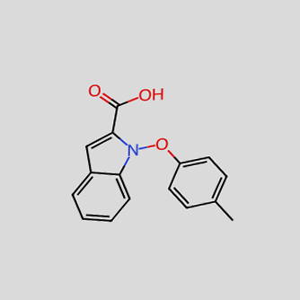 Cc1ccc(On2c(C(=O)O)cc3ccccc32)cc1